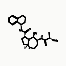 CN[C@@H](C)C(=O)N[C@H]1CCS[C@H]2CC[C@H](C(=O)N[C@@H]3CCCc4ccccc43)N2C1O